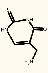 NCc1c[nH]c(=S)[nH]c1=O